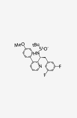 COc1ccc(-c2cccnc2[C@H](Cc2cc(F)cc(F)c2)N[S+]([O-])C(C)(C)C)cc1